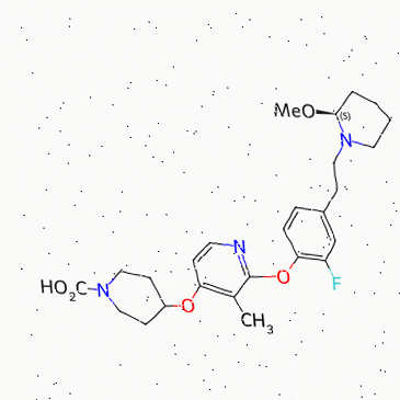 CO[C@H]1CCCCN1CCc1ccc(Oc2nccc(OC3CCN(C(=O)O)CC3)c2C)c(F)c1